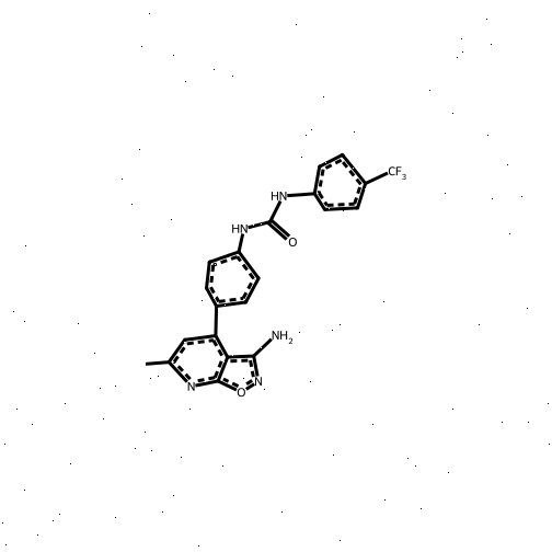 Cc1cc(-c2ccc(NC(=O)Nc3ccc(C(F)(F)F)cc3)cc2)c2c(N)noc2n1